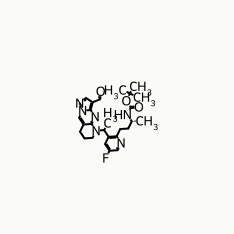 CC(c1cc(F)cnc1CC[C@@H](C)NC(=O)OC(C)(C)C)N1CCCc2cn3ncc(C=O)c3nc21